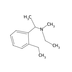 CCc1ccccc1C(C)N(C)CC